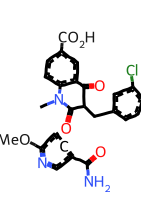 CN1C(=O)C(Cc2cccc(Cl)c2)C(=O)c2cc(C(=O)O)ccc21.COc1ccc(C(N)=O)cn1